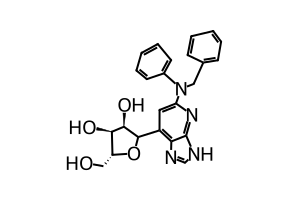 OC[C@H]1OC(c2cc(N(Cc3ccccc3)c3ccccc3)nc3[nH]cnc23)[C@H](O)[C@@H]1O